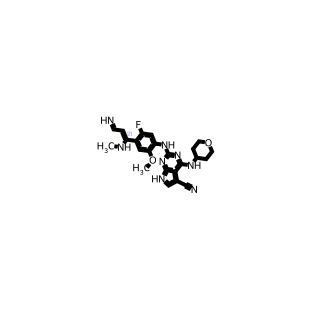 CN/C(=C\C=N)c1cc(OC)c(Nc2nc(NC3CCOCC3)c3c(C#N)c[nH]c3n2)cc1F